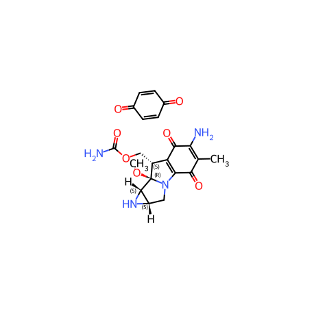 CO[C@@]12[C@H](COC(N)=O)C3=C(C(=O)C(C)=C(N)C3=O)N1C[C@@H]1N[C@@H]12.O=C1C=CC(=O)C=C1